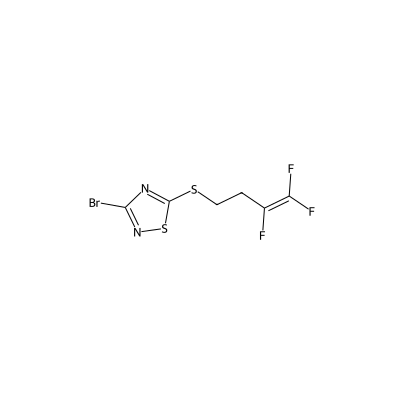 FC(F)=C(F)CCSc1nc(Br)ns1